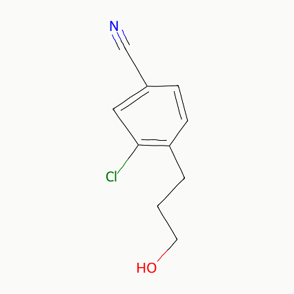 N#Cc1ccc(CCCO)c(Cl)c1